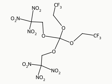 O=[N+]([O-])C(COC(OCC(F)(F)F)(OCC(F)(F)F)OCC([N+](=O)[O-])([N+](=O)[O-])[N+](=O)[O-])([N+](=O)[O-])[N+](=O)[O-]